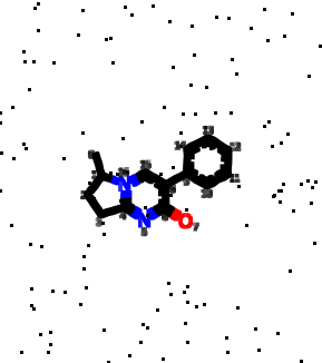 CC1CCc2nc(=O)c(-c3ccccc3)cn21